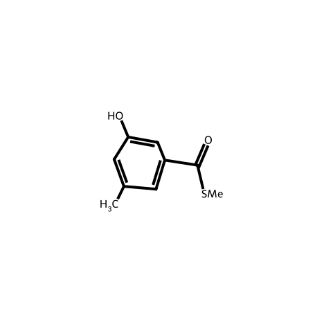 CSC(=O)c1cc(C)cc(O)c1